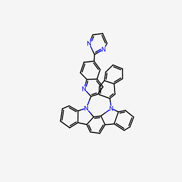 c1cnc(-c2ccc3nc(-n4c5ccccc5c5ccc6c7ccccc7n(-c7ccc8ccccc8c7)c6c54)ccc3c2)nc1